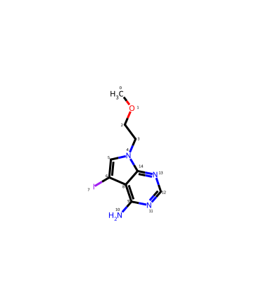 COCCn1cc(I)c2c(N)ncnc21